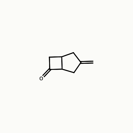 C=C1CC2CC(=O)C2C1